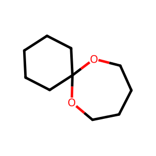 C1CCC2(CC1)OCCCCO2